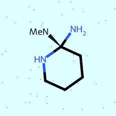 CN[C@@]1(N)CCCCN1